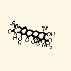 CN(C)OC(=O)Nc1c(Cl)cc2c(c1O)C(=O)C1=C(O)C3(O)C(=O)C(C(N)=O)=C(O)[C@@H](N(C)C)C3CC1C2